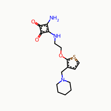 Nc1c(NCCOc2sccc2CN2CCCCC2)c(=O)c1=O